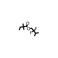 CCC(C)(C)C(=O)OCC(F)(F)C(C)C